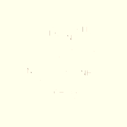 CC(C#N)=CC=CN(C)C.O=CNC=O